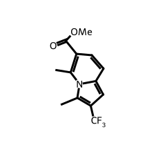 COC(=O)c1ccc2cc(C(F)(F)F)c(C)n2c1C